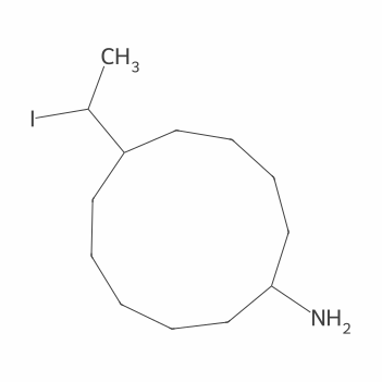 CC(I)C1CCCCCC(N)CCCC1